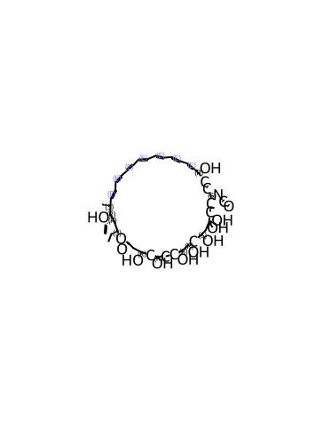 C=C[C@@H]1[C@H](O)[C@@H](C)/C=C/C=C/C=C/C=C/C=C/C=C/C=C/[C@H](O)CC[C@H](N=C=O)CCC(O)(O)C[C@@H](O)C[C@@H](O)[C@H](O)CC[C@@H](O)C[C@@H](O)CC(=O)O[C@H]1CC